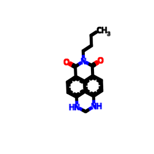 CCCCN1C(=O)c2ccc3c4c(ccc(c24)C1=O)NCN3